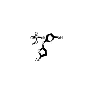 CC(=O)c1ccc(Sc2ccc(S)s2)s1.CCCCS(=O)(=O)OF